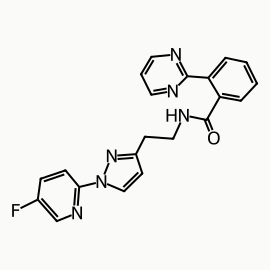 O=C(NCCc1ccn(-c2ccc(F)cn2)n1)c1ccccc1-c1ncccn1